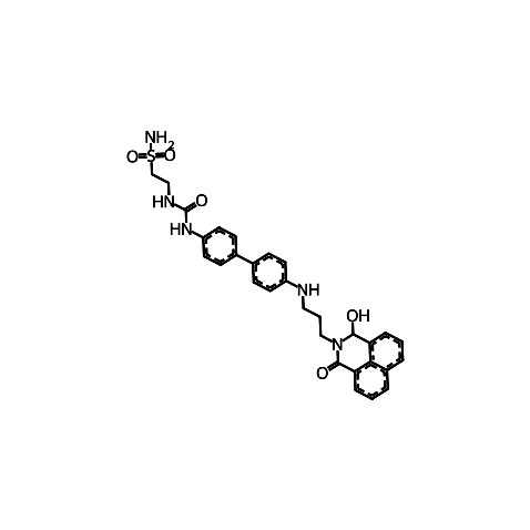 NS(=O)(=O)CCNC(=O)Nc1ccc(-c2ccc(NCCCN3C(=O)c4cccc5cccc(c45)C3O)cc2)cc1